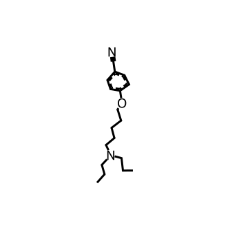 CCCN(CCC)CCCCCOc1ccc(C#N)cc1